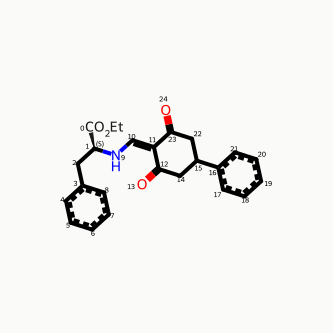 CCOC(=O)[C@H](Cc1ccccc1)NC=C1C(=O)CC(c2ccccc2)CC1=O